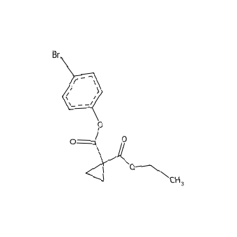 CCOC(=O)C1(C(=O)Oc2ccc(Br)cc2)CC1